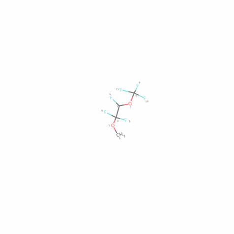 COC(F)(F)C(F)OC(F)(F)F